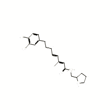 CC(/C=C/CCCc1ccc(Cl)c(Cl)c1)=C\C(=O)NCC1CCCO1